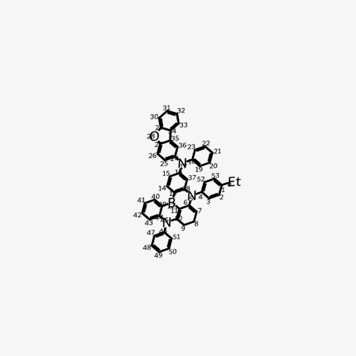 CCc1ccc(N2C3=CCCC4=C3B(c3ccc(N(c5ccccc5)c5ccc6oc7ccccc7c6c5)cc32)c2ccccc2N4c2ccccc2)cc1